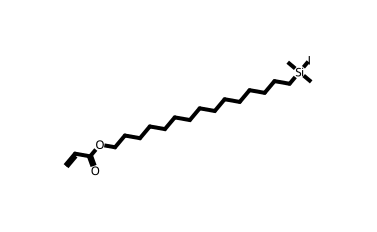 C=CC(=O)OCCCCCCCCCCCCCCC[Si](C)(C)I